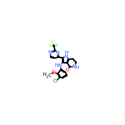 COc1c(Cl)cccc1Nc1c(-c2ccnc(C(F)(F)F)n2)[nH]c2c1C(=O)NCC2